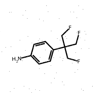 Nc1ccc(C(CF)(CF)CF)cc1